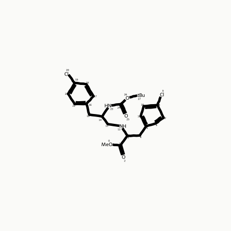 COC(=O)C(Cc1ccc(Cl)cc1)NCC(Cc1ccc(Cl)cc1)NC(=O)OC(C)(C)C